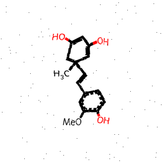 COc1cc(/C=C/C2(C)C=C(O)C=C(O)C2)ccc1O